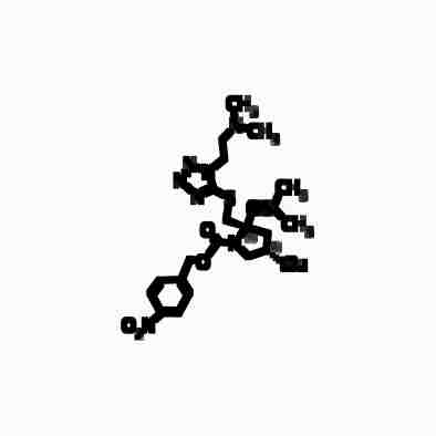 CN(C)CCn1nnnc1SC[C@@]1(O[SiH](C)C)C[C@H](C(C)(C)C)CN1C(=O)OCc1ccc([N+](=O)[O-])cc1